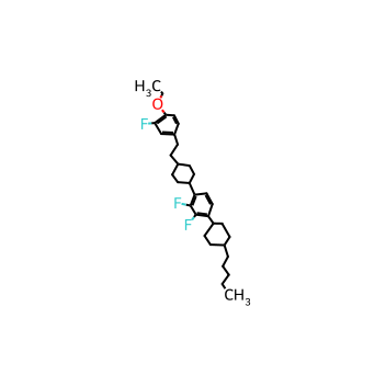 CCCCCC1CCC(c2ccc(C3CCC(CCc4ccc(OCC)c(F)c4)CC3)c(F)c2F)CC1